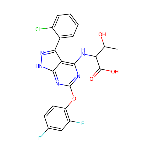 CC(O)C(Nc1nc(Oc2ccc(F)cc2F)nc2[nH]nc(-c3ccccc3Cl)c12)C(=O)O